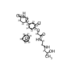 CC(O)CNCCNC(=O)COc1ccc(C2=NNC(=O)CC2)cc1Cl.c1cc2cc(c1)O2